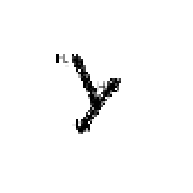 CC(C)(C)OC(=O)NCCOCCOCCOCCN(CCOCCOCCOCCNC(=O)OC(C)(C)C)C(=O)CCOCCCOCCCOCCCOCCCOCCCOCCN